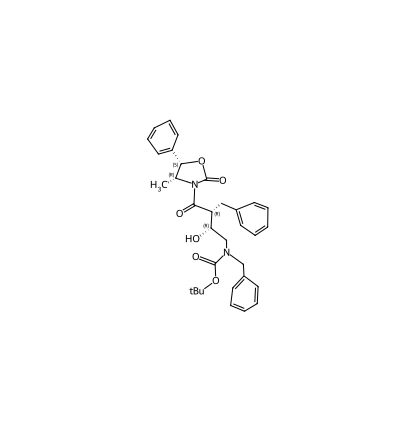 C[C@@H]1[C@H](c2ccccc2)OC(=O)N1C(=O)[C@H](Cc1ccccc1)[C@@H](O)CN(Cc1ccccc1)C(=O)OC(C)(C)C